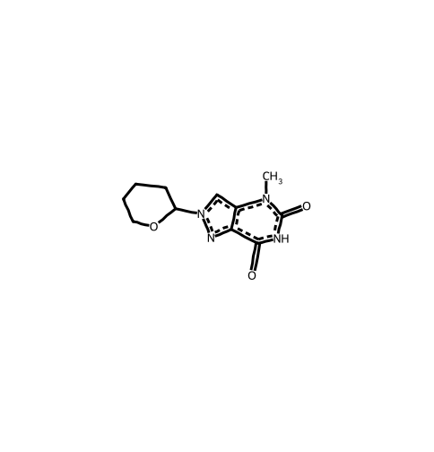 Cn1c(=O)[nH]c(=O)c2nn(C3CCCCO3)cc21